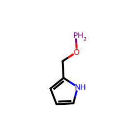 POCc1ccc[nH]1